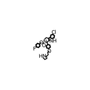 O=C(Oc1ccc(F)cc1)N1CCc2c([nH]c3ccc(Cl)cc23)C1c1ccc(OCCC2CCCN2)cc1